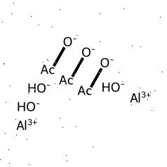 CC(=O)[O-].CC(=O)[O-].CC(=O)[O-].[Al+3].[Al+3].[OH-].[OH-].[OH-]